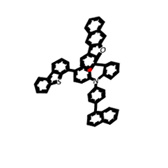 c1ccc(N(c2ccc(-c3cccc4ccccc34)cc2)c2ccc(-c3cccc4c3sc3ccccc34)cc2)c(-c2cccc3c2oc2cc4ccccc4cc23)c1